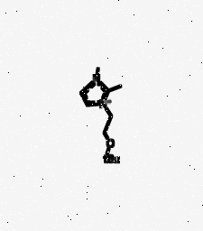 Cc1n(C)cc[n+]1CCOC(C)(C)C